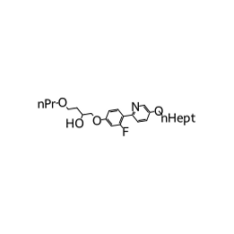 CCCCCCCOc1ccc(-c2ccc(OCC(O)CCOCCC)cc2F)nc1